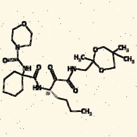 CCCC[C@H](NC(=O)C1(NC(=O)N2CCOCC2)CCCCC1)C(=O)C(=O)NCC1(C)OCC(C)(C)CO1